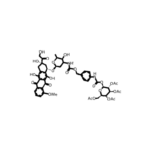 COc1cccc2c1C(=O)c1c(O)c3c(c(O)c1C2=O)C[C@@](O)(C(=O)CO)C[C@@H]3OC1CC(NC(=O)OCc2ccc(NC(=O)O[C@@H]3O[C@H](COC(C)=O)[C@H](OC(C)=O)[C@H](OC(C)=O)[C@H]3OC(C)=O)cc2)C(O)C(C)O1